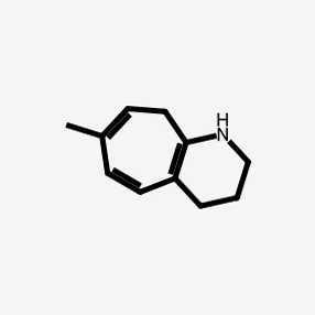 CC1=CCC2=C(C=C1)CCCN2